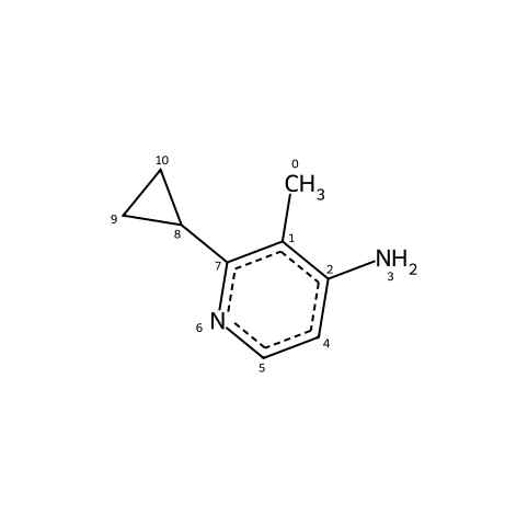 Cc1c(N)ccnc1C1CC1